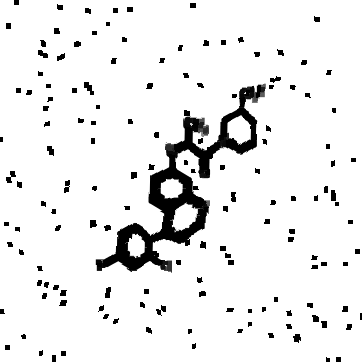 CC(Oc1ccc2c(-c3ccc(F)cc3Cl)ccnc2c1)C(=O)N1CCC[C@H](C(=O)O)C1